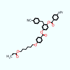 C=CC(=O)OCCCCCCOc1ccc(C(=O)Oc2ccc(OC(=O)c3ccc(CCC)cc3)c(Cc3ccc(C#N)cc3)c2)cc1